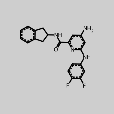 Nc1cc(Nc2ccc(F)c(F)c2)nc(C(=O)NC2Cc3ccccc3C2)c1